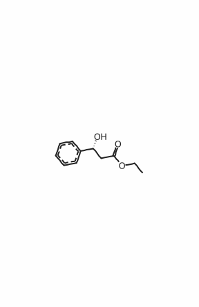 CCOC(=O)C[C@@H](O)c1ccccc1